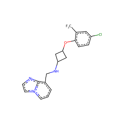 FC(F)(F)c1cc(Cl)ccc1OC1CC(NCc2cccn3ccnc23)C1